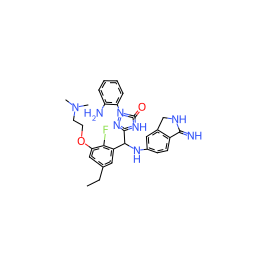 CCc1cc(OCCN(C)C)c(F)c(C(Nc2ccc3c(c2)CNC3=N)c2nn(-c3ccccc3N)c(=O)[nH]2)c1